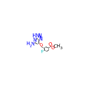 COC(=O)c1ccc(F)c(COc2cc(N)nc3[nH]nnc23)c1